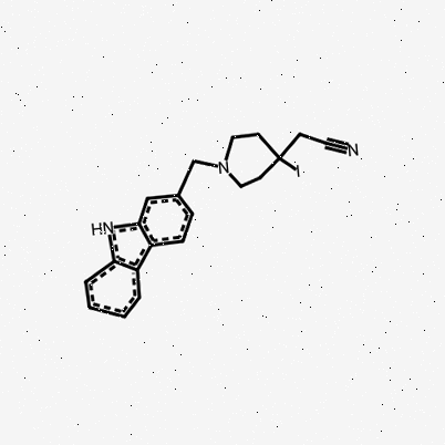 N#CCC1(I)CCN(Cc2ccc3c(c2)[nH]c2ccccc23)CC1